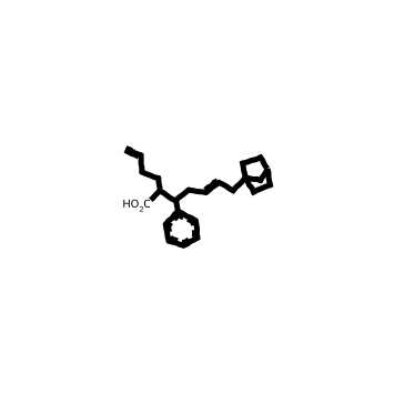 C=CCCC(C(=O)O)C(CC=CCC12CCC(CC1)C2)c1ccccc1